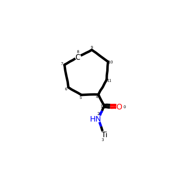 O=C([NH][Ti])C1CCCCCCC1